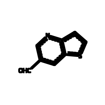 O=Cc1cnc2ccsc2c1